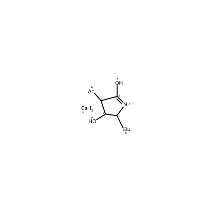 CCC(C)C1N=C(O)C(C(C)=O)C1O.[CaH2]